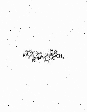 CS(=O)(=O)Nc1cccc(C2=NN(C(=O)c3cccc(F)c3)CC2)c1